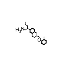 CCCC(CN)c1ccc2c(c1)CCC(COc1ccccc1C)C2